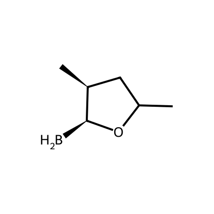 B[C@@H]1OC(C)C[C@@H]1C